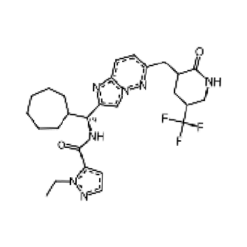 CCn1nccc1C(=O)N[C@H](c1cn2nc(CC3CC(C(F)(F)F)CNC3=O)ccc2n1)C1CCCCCC1